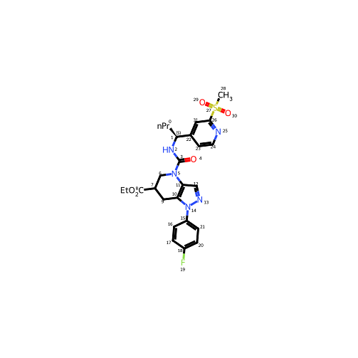 CCC[C@H](NC(=O)N1CC(C(=O)OCC)Cc2c1cnn2-c1ccc(F)cc1)c1ccnc(S(C)(=O)=O)c1